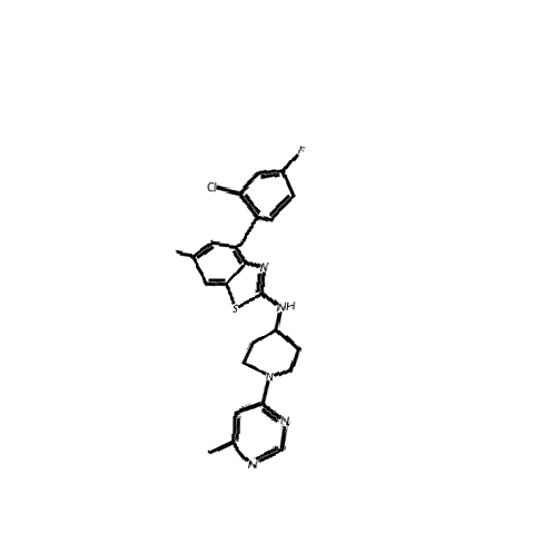 Cc1cc(-c2ccc(F)cc2Cl)c2nc(NC3CCN(c4cc(C)ncn4)CC3)sc2c1